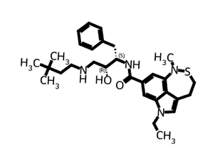 CCn1cc2c3c(cc(C(=O)N[C@@H](Cc4ccccc4)[C@H](O)CNCCC(C)(C)C)cc31)N(C)SCC2